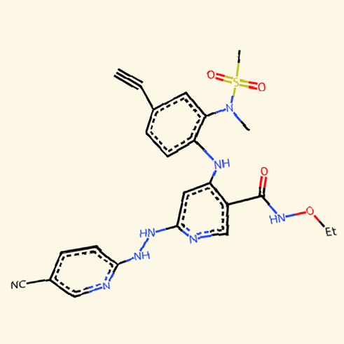 C#Cc1ccc(Nc2cc(NNc3ccc(C#N)cn3)ncc2C(=O)NOCC)c(N(C)S(C)(=O)=O)c1